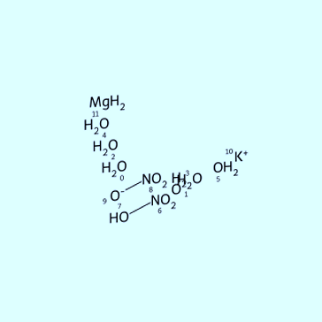 O.O.O.O.O.O.O=[N+]([O-])O.O=[N+]([O-])[O-].[K+].[MgH2]